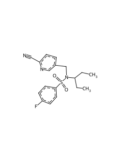 CCC(CC)N(Cc1ccc(C#N)nc1)S(=O)(=O)c1ccc(F)cc1